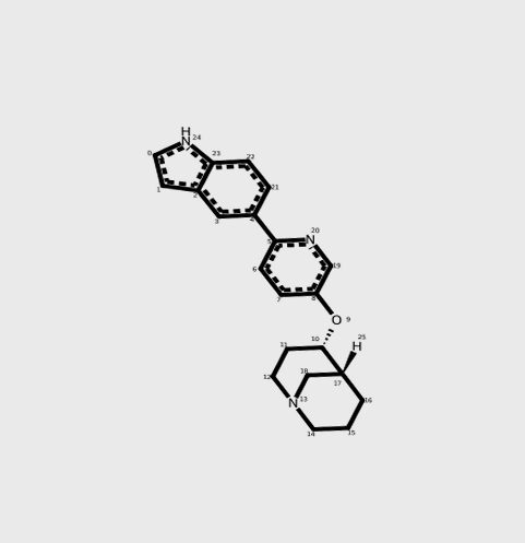 c1cc2cc(-c3ccc(O[C@H]4CCN5CCC[C@@H]4C5)cn3)ccc2[nH]1